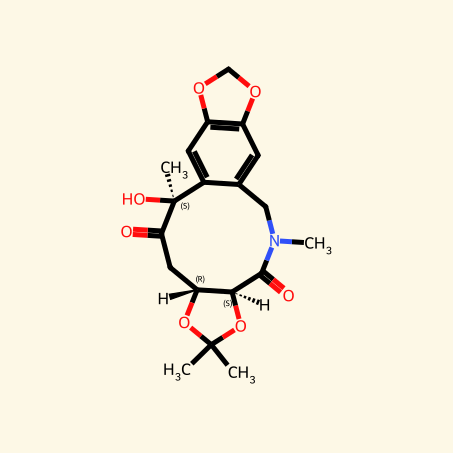 CN1Cc2cc3c(cc2[C@](C)(O)C(=O)C[C@H]2OC(C)(C)O[C@@H]2C1=O)OCO3